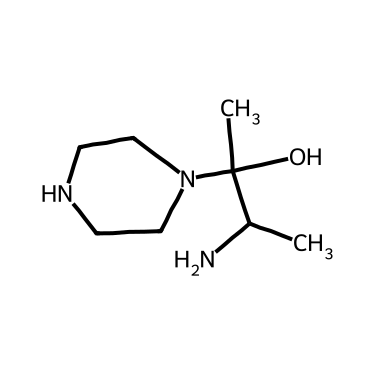 CC(N)C(C)(O)N1CCNCC1